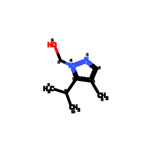 Cc1[c]nn(CO)c1C(C)C